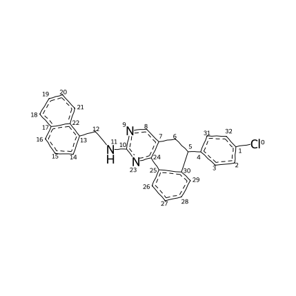 Clc1ccc(C2Cc3cnc(NCc4cccc5ccccc45)nc3-c3ccccc32)cc1